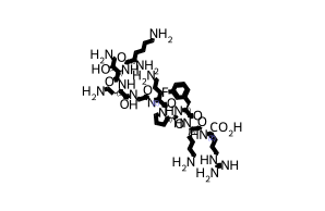 N=C(N)NCC/C=C(\NC(=O)[C@H](CCCCN)NC(=O)[C@H](Cc1cccc(F)c1)NC(=O)[C@@H]1CCCN1C(=O)/C(CCCN)=N/C(=O)CNC(=O)[C@H](CCN)NC(=O)[C@@H](NC(=O)[C@@H](N)CCCCN)[C@@H](O)CN)C(=O)O